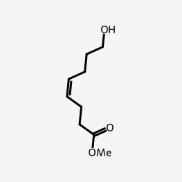 COC(=O)CC/C=C\CCCO